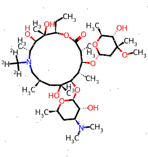 [2H]C([2H])([2H])N1C[C@H](C)C[C@@](C)(O)[C@H](O[C@@H]2O[C@H](C)C[C@H](N(C)C)[C@H]2O)[C@@H](C)[C@H](O[C@H]2C[C@@](C)(OC)[C@@H](O)[C@H](C)O2)[C@@H](C)C(=O)O[C@H](CC)[C@@](C)(O)[C@H](O)[C@H]1C